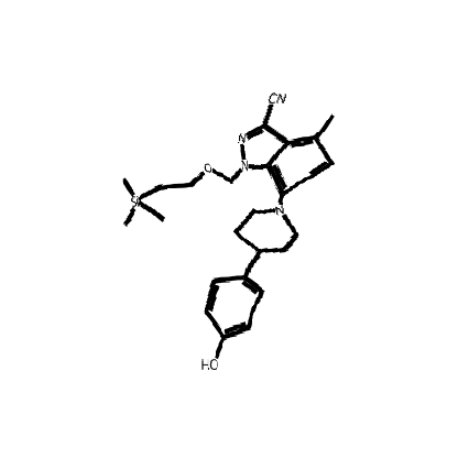 Cc1ccc(N2CCC(c3ccc(O)cc3)CC2)c2c1c(C#N)nn2COCC[Si](C)(C)C